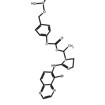 CC(OC(=O)Oc1ccc(CON(O)O)cc1)N1CCN=C1Nc1ccc2nccnc2c1Br